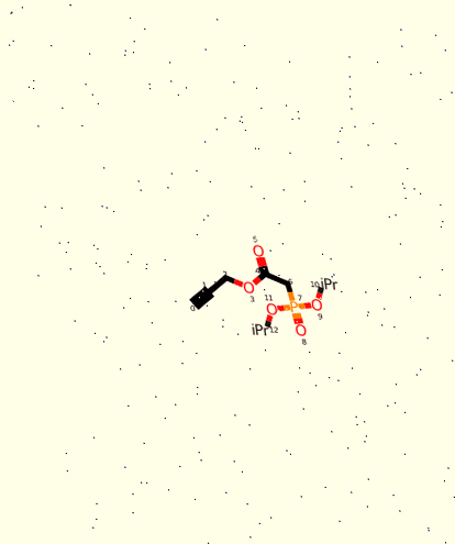 C#CCOC(=O)CP(=O)(OC(C)C)OC(C)C